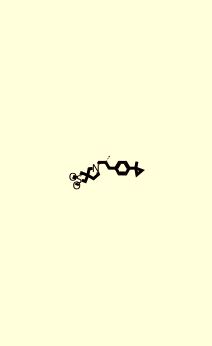 C[C@H](Cc1ccc(C2(C)CC2)cc1)CN1CCC2(C1)CS(=O)(=O)C2